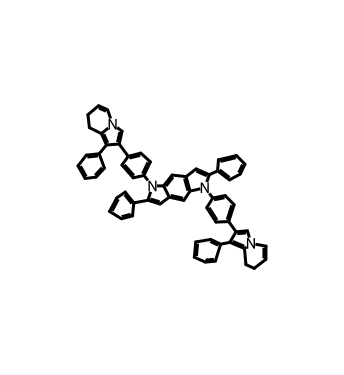 C1=Cn2cc(-c3ccc(-n4c(-c5ccccc5)cc5cc6c(cc(-c7ccccc7)n6-c6ccc(-c7cn8c(c7-c7ccccc7)CCC=C8)cc6)cc54)cc3)c(-c3ccccc3)c2CC1